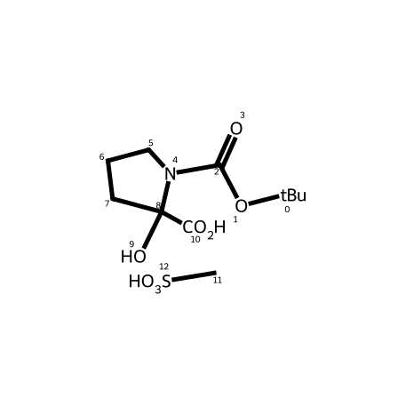 CC(C)(C)OC(=O)N1CCCC1(O)C(=O)O.CS(=O)(=O)O